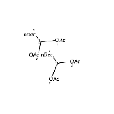 CCCCCCCCCCC(OC(C)=O)OC(C)=O.CCCCCCCCCCC(OC(C)=O)OC(C)=O